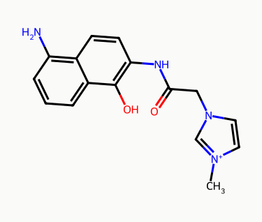 C[n+]1ccn(CC(=O)Nc2ccc3c(N)cccc3c2O)c1